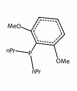 CCCP(CCC)c1c(OC)cccc1OC